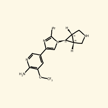 CC(C)c1nc(-c2cnc(N)c(OC(F)(F)F)c2)cn1[C@H]1[C@@H]2CNC[C@@H]21